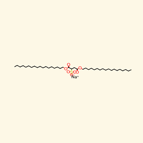 CCCCCCCCCCCCCCCCCCOC(=O)CC(C(=O)OCCCCCCCCCCCCCCCCCC)S(=O)(=O)[O-].[Na+]